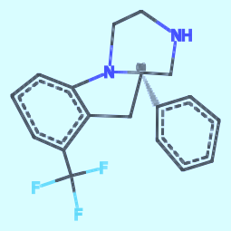 FC(F)(F)c1cccc2c1C[C@]1(c3ccccc3)CNCCN21